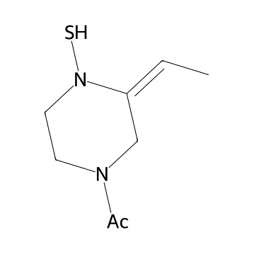 CC=C1CN(C(C)=O)CCN1S